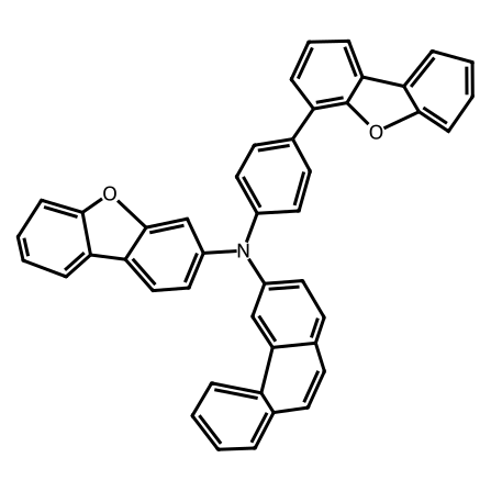 c1ccc2c(c1)ccc1ccc(N(c3ccc(-c4cccc5c4oc4ccccc45)cc3)c3ccc4c(c3)oc3ccccc34)cc12